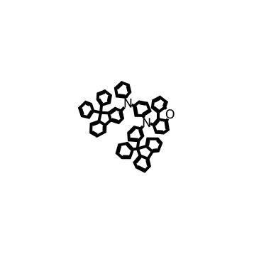 c1ccc(N(c2cccc(N(c3cccc(C4(c5ccccc5)c5ccccc5-c5ccccc54)c3)c3cccc4oc5ccccc5c34)c2)c2ccc3c(c2)C(c2ccccc2)(c2ccccc2)c2ccccc2-3)cc1